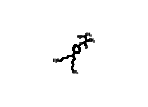 CCCCCC(CCCCC)c1ccc(OC(=O)C(C)C(C)C)cc1